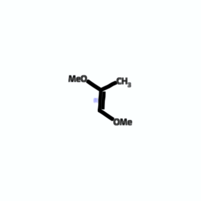 CO/C=C(\C)OC